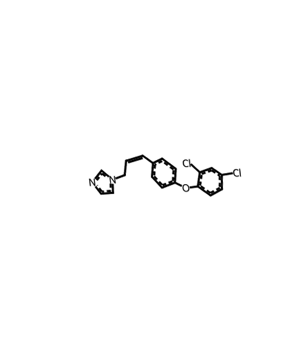 Clc1ccc(Oc2ccc(/C=C\Cn3ccnc3)cc2)c(Cl)c1